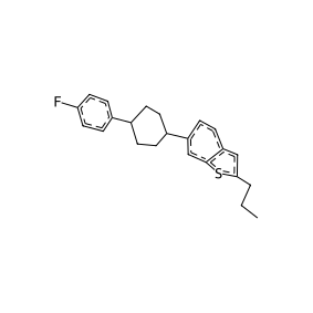 CCCc1cc2ccc(C3CCC(c4ccc(F)cc4)CC3)cc2s1